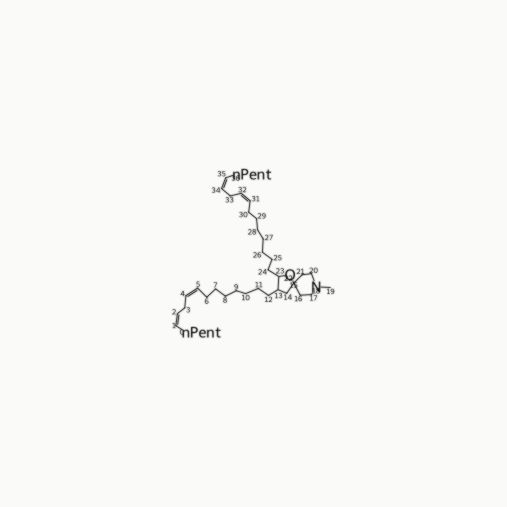 CCCCC/C=C\C/C=C\CCCCCCCC1CC2(CCN(C)CC2)OC1CCCCCCC/C=C\C/C=C\CCCCC